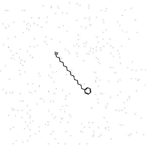 BrCCCCCCCCCCCCCCCc1ccccc1